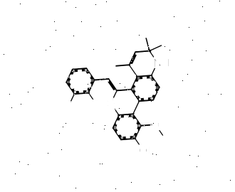 COc1c(O)ccc2c1-c1ccc3c(c1C(=Cc1cccc(F)c1F)O2)C(C)=CC(C)(C)N3